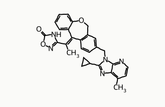 C/C(=C1\c2ccc(Cn3c(C4CC4)nc4c(C)ccnc43)cc2COc2ccccc21)c1noc(=O)[nH]1